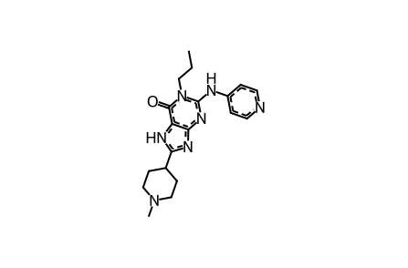 CCCn1c(Nc2ccncc2)nc2nc(C3CCN(C)CC3)[nH]c2c1=O